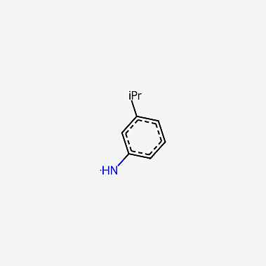 CC(C)c1cccc([NH])c1